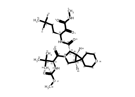 CNC(=O)C(=O)[C@H](CCC(C)(F)F)NC(=O)[C@@H]1[C@@H]2[C@H](CN1C(=O)[C@@H](NC(=O)OC)C(C)(C)C)C21CCOCC1